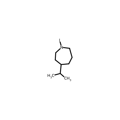 CC(C)C1CCCN(I)CC1